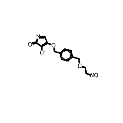 O=NCCOCc1ccc(COC2=C(Cl)C(=O)N=C2)cc1